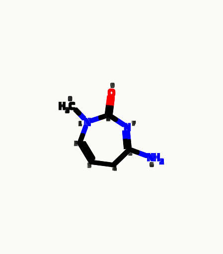 CN1C=CCC(N)=NC1=O